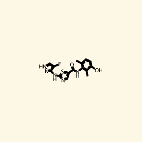 Cc1ccc(O)c(C)c1NC(=O)c1cnc(Nc2n[nH]cc2F)s1